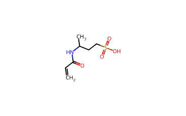 C=CC(=O)NC(C)CCS(=O)(=O)O